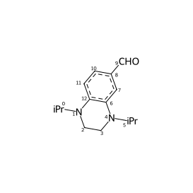 CC(C)N1CCN(C(C)C)c2cc(C=O)ccc21